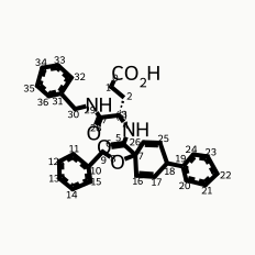 O=C(O)CC[C@H](NC(=O)C1(OCc2ccccc2)C=CC(c2ccccc2)C=C1)C(=O)NCc1ccccc1